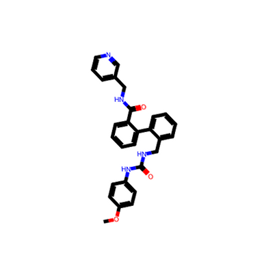 COc1ccc(NC(=O)NCc2ccccc2-c2ccccc2C(=O)NCc2cccnc2)cc1